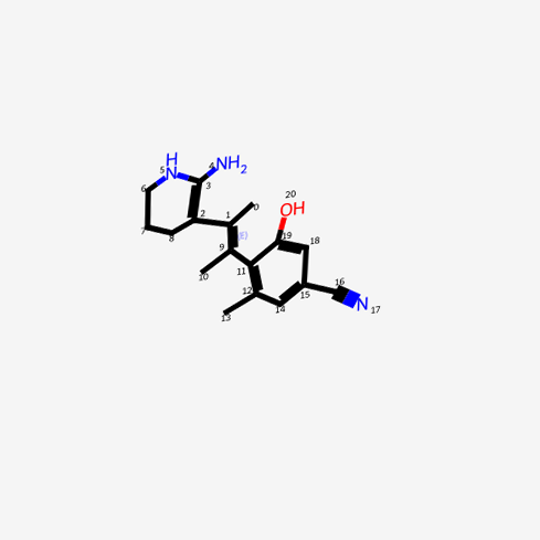 C/C(C1=C(N)NCCC1)=C(/C)c1c(C)cc(C#N)cc1O